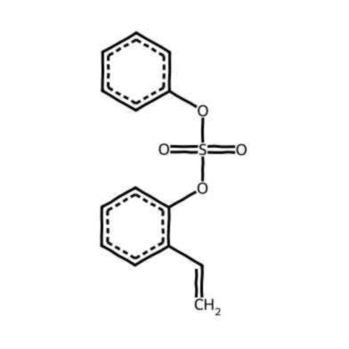 C=Cc1ccccc1OS(=O)(=O)Oc1ccccc1